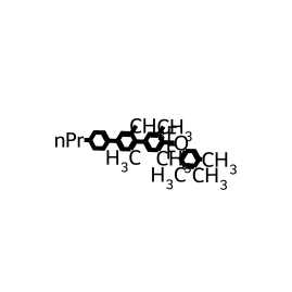 CCCC1CC=C(c2cc(C)c(-c3cc(C)c(C(F)(F)Oc4cc(C)c(C)c(C)c4)c(C)c3)c(C)c2)CC1